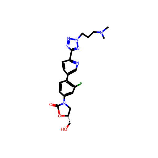 CN(C)CCCn1nnc(-c2ccc(-c3ccc(N4C[C@H](CO)OC4=O)cc3F)cn2)n1